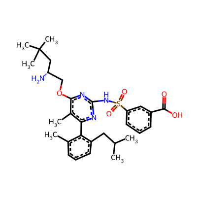 Cc1cccc(CC(C)C)c1-c1nc(NS(=O)(=O)c2cccc(C(=O)O)c2)nc(OC[C@H](N)CC(C)(C)C)c1C